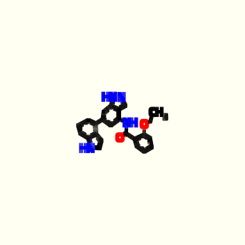 CCOc1ccccc1C(=O)Nc1cc(-c2cccc3[nH]ccc23)cc2[nH]ncc12